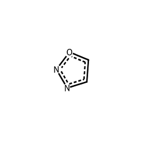 c1conn1